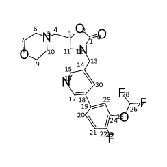 O=C1OC(CN2CCOCC2)CN1Cc1cncc(-c2ccc(F)c(OC(F)F)c2)c1